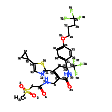 CS(=O)(=O)CC(=O)NCC1=C(c2ncc(C3CC3)s2)C[C@](c2ccc(OCCCC(F)(F)F)cc2)(C(F)(F)F)NC1=O